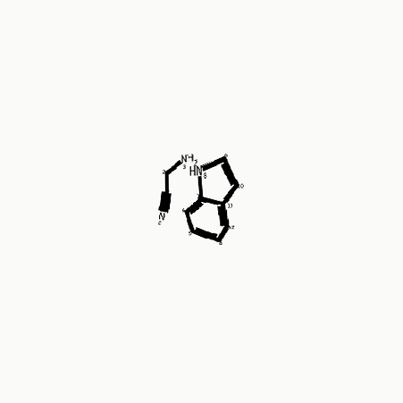 N#CCN.c1ccc2[nH]ccc2c1